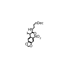 CCCCCCCCCCCCNC(=O)C(I)c1cc2c(cc1[N+](=O)[O-])OCO2